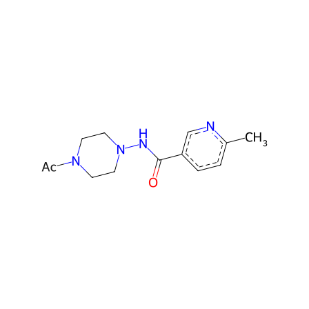 CC(=O)N1CCN(NC(=O)c2ccc(C)nc2)CC1